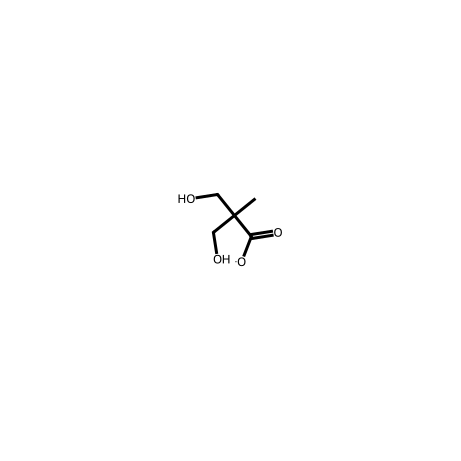 CC(CO)(CO)C([O])=O